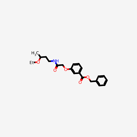 CCOC(C)CCNC(=O)COc1cccc(C(=O)OCc2ccccc2)c1